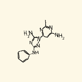 Cc1nc(N)cc(-n2nc(Nc3ccccc3)nc2N)n1